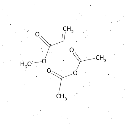 C=CC(=O)OC.CC(=O)OC(C)=O